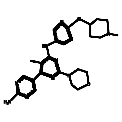 Cc1c(Nc2ccc(OC3CCN(C)CC3)nc2)nc(N2CCOCC2)nc1-c1cnc(N)nc1